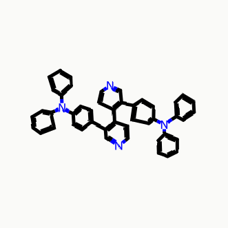 c1ccc(N(c2ccccc2)c2ccc(-c3cnccc3-c3ccncc3-c3ccc(N(c4ccccc4)c4ccccc4)cc3)cc2)cc1